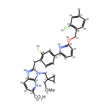 COCC1(Cn2c(Cc3ccc(-c4cccc(OCc5ccc(C)cc5F)n4)cc3F)nc3ccc(C(=O)O)nc32)CC1